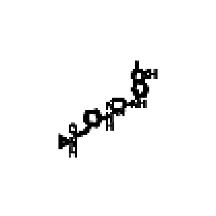 Cc1cc2cc(Nc3ccnc(Nc4cccc(CC(=O)NC5CC5)c4)n3)ccc2[nH]1